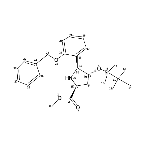 COC(=O)[C@@H]1C[C@@H](O[Si](C)(C)C(C)(C)C)[C@H](c2ccccc2OCc2ccccc2)N1